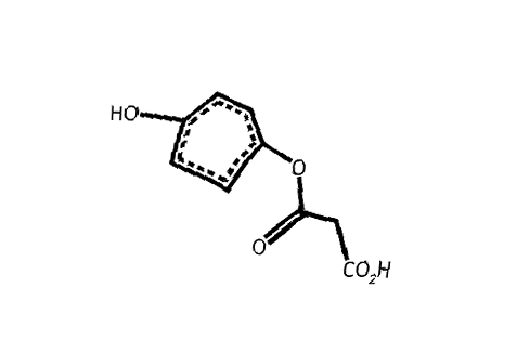 O=C(O)CC(=O)Oc1ccc(O)cc1